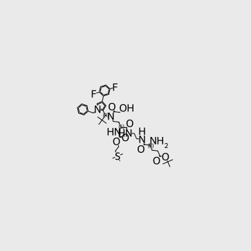 CC(C)(C)OC(=O)CC[C@@H](N)C(=O)NCCNC(=O)[C@H](CCN(C(=O)CO)[C@@H](c1cc(-c2cc(F)ccc2F)cn1Cc1ccccc1)C(C)(C)C)NC(=O)OCCS(C)(C)C